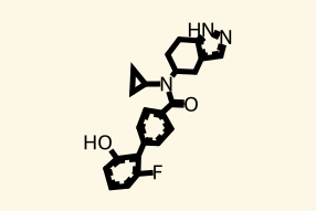 O=C(c1ccc(-c2c(O)cccc2F)cc1)N(C1CC1)C1CCc2[nH]ncc2C1